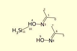 CC(C)=NO.CC(C)=NO.C[SiH3]